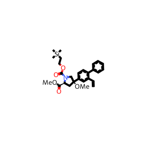 C=Cc1cc([C@]2(OC)C[C@@H](C(=O)OC)N(C(=O)OCC[Si](C)(C)C)C2)ccc1-c1ccccc1